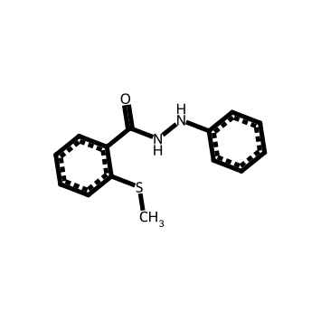 CSc1ccccc1C(=O)NNc1ccccc1